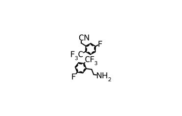 N#CCc1cc(F)ccc1C(F)(F)F.NCCc1cc(F)ccc1C(F)(F)F